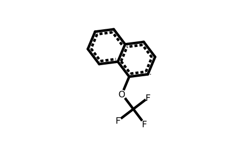 FC(F)(F)Oc1[c]ccc2ccccc12